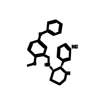 COc1ccc(Oc2ccccc2)cc1CN[C@H]1CCCN[C@H]1c1ccccc1.Cl